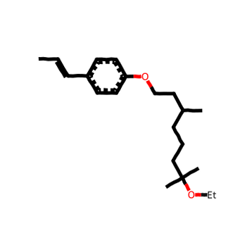 CC=Cc1ccc(OCCC(C)CCCC(C)(C)OCC)cc1